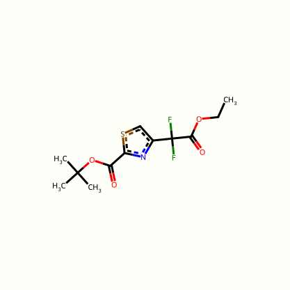 CCOC(=O)C(F)(F)c1csc(C(=O)OC(C)(C)C)n1